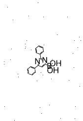 OB(O)c1cc(-c2ccccc2)nc(-c2ccccc2)n1